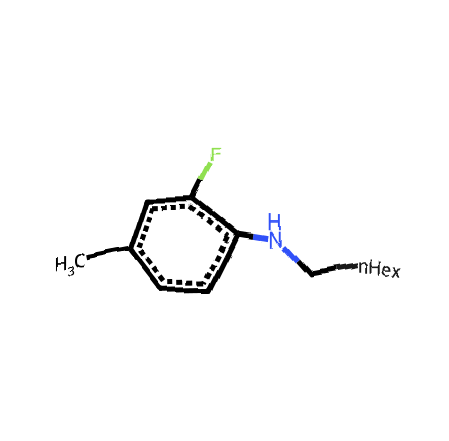 CCCCCCCNc1ccc(C)cc1F